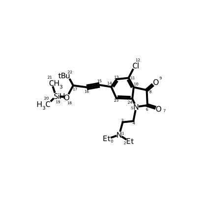 CCN(CC)CCN1C(=O)C(=O)c2c(Cl)cc(C#CC(O[SiH](C)C)C(C)(C)C)cc21